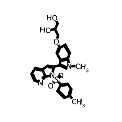 Cc1ccc(S(=O)(=O)n2c(-c3cn(C)c4ccc(OCC(O)CO)cc34)cc3cccnc32)cc1